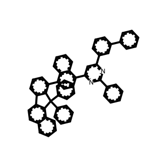 c1ccc(-c2cccc(-c3cc(-c4ccc(-c5cccc6c5C(c5ccccc5)(c5ccccc5)c5c-6ccc6ccccc56)c5ccccc45)nc(-c4ccccc4)n3)c2)cc1